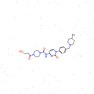 CCC1CCN(Cc2ccc(-n3ccc(NC(=O)N4CCN(C(=O)CCO)CC4)nc3=O)cc2)CC1